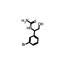 NC(=S)NC(CO)c1cccc(Br)c1